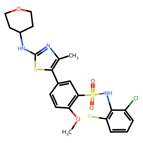 COc1ccc(-c2sc(NC3CCOCC3)nc2C)cc1S(=O)(=O)Nc1c(F)cccc1Cl